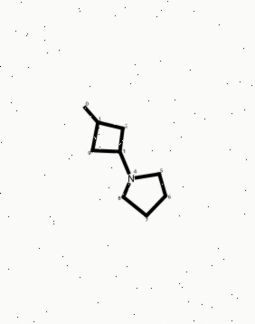 CC1CC(N2CCCC2)C1